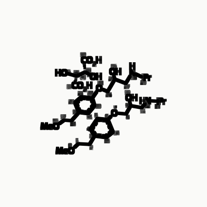 COCCc1ccc(OCC(O)CNC(C)C)cc1.COCCc1ccc(OCC(O)CNC(C)C)cc1.O=C(O)[C@H](O)[C@@H](O)C(=O)O